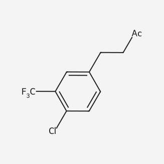 CC(=O)CCc1ccc(Cl)c(C(F)(F)F)c1